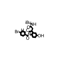 CCC(C)NC(=O)Cc1c(C)n(C(=O)c2ccc(Br)cc2)c2ccc(O)cc12